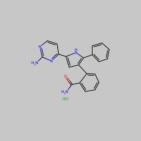 Cl.NC(=O)c1ccccc1-c1cc(-c2ccnc(N)n2)[nH]c1-c1ccccc1